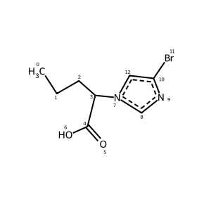 CCCC(C(=O)O)n1cnc(Br)c1